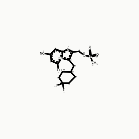 Cc1cc(C#N)cc2nc(COS(C)(=O)=O)c(CC3CCC(F)(F)CC3)n12